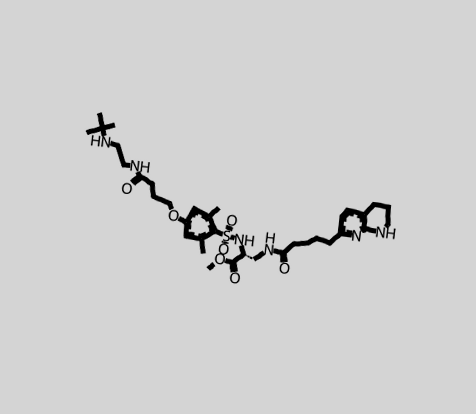 COC(=O)[C@@H](CNC(=O)CCCCc1ccc2c(n1)NCCC2)NS(=O)(=O)c1c(C)cc(OCCCC(=O)NCCNC(C)(C)C)cc1C